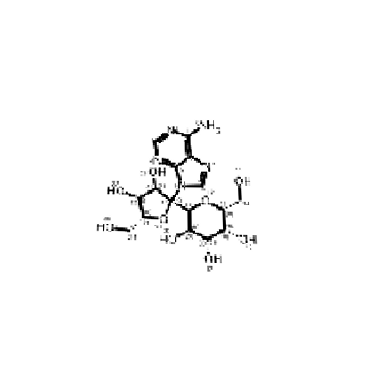 Nc1ncnc2c1ncn2[C@]1(C2O[C@H](CO)[C@H](O)[C@H](O)[C@H]2O)O[C@H](CO)[C@@H](O)[C@H]1O